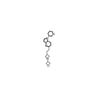 c1cncc(-n2ccc3nc(CCC4CN(C5COC5)C4)ccc32)c1